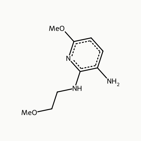 COCCNc1nc(OC)ccc1N